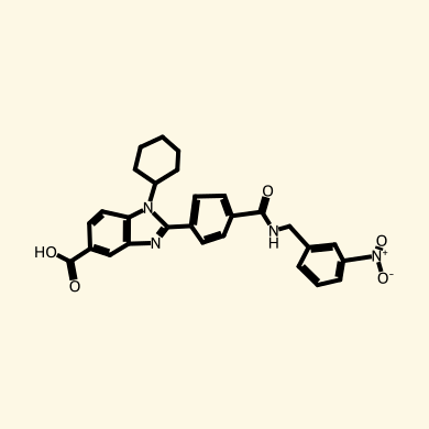 O=C(O)c1ccc2c(c1)nc(-c1ccc(C(=O)NCc3cccc([N+](=O)[O-])c3)cc1)n2C1CCCCC1